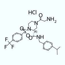 CC(C)c1ccc(CNC(=O)[C@H]2CN(C(=O)CN)CCN2S(=O)(=O)c2ccc(C(F)(F)F)cc2)cc1.Cl